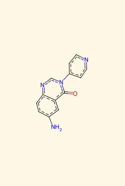 Nc1ccc2ncn(-c3ccncc3)c(=O)c2c1